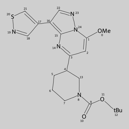 COc1cc(C2CCCN(C(=O)OC(C)(C)C)C2)nc2c(-c3cnsc3)cnn12